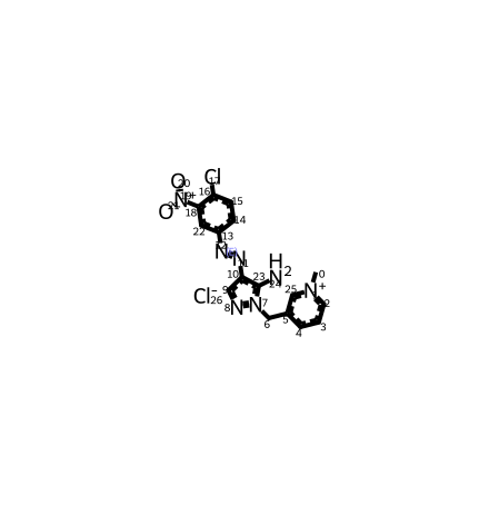 C[n+]1cccc(Cn2ncc(/N=N/c3ccc(Cl)c([N+](=O)[O-])c3)c2N)c1.[Cl-]